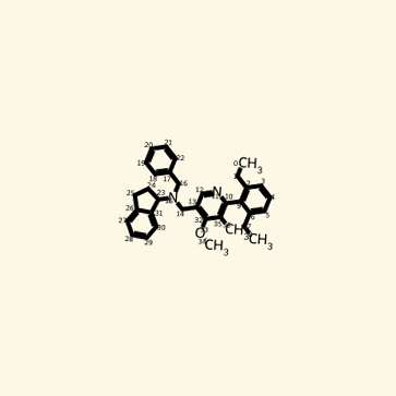 CCc1cccc(CC)c1-c1ncc(CN(Cc2ccccc2)C2CCc3ccccc32)c(OC)c1C